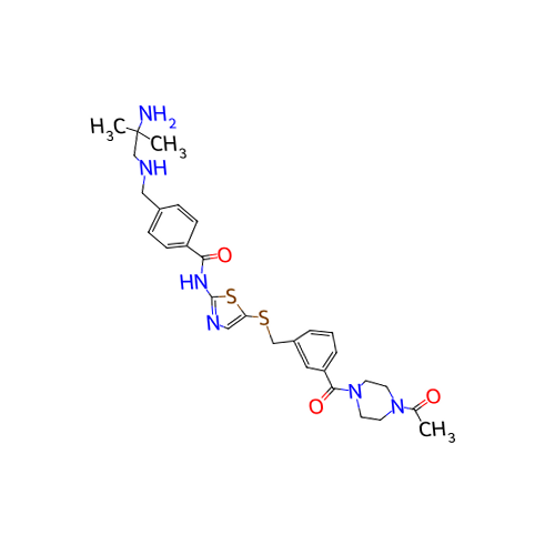 CC(=O)N1CCN(C(=O)c2cccc(CSc3cnc(NC(=O)c4ccc(CNCC(C)(C)N)cc4)s3)c2)CC1